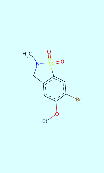 CCOc1cc2c(cc1Br)S(=O)(=O)N(C)C2